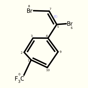 FC(F)(F)c1ccc(/C(Br)=C\Br)cc1